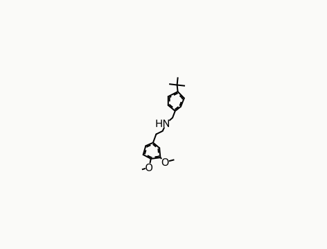 COc1ccc(CCNCc2ccc(C(C)(C)C)cc2)cc1OC